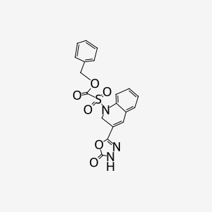 O=C(OCc1ccccc1)S(=O)(=O)N1CC(c2n[nH]c(=O)o2)=Cc2ccccc21